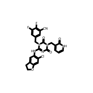 N#Cc1cc(Cn2c(Nc3cc4c(cc3Cl)OCC4)nc(=O)n(Cc3ccc[nH]c3=O)c2=O)cc(F)c1F